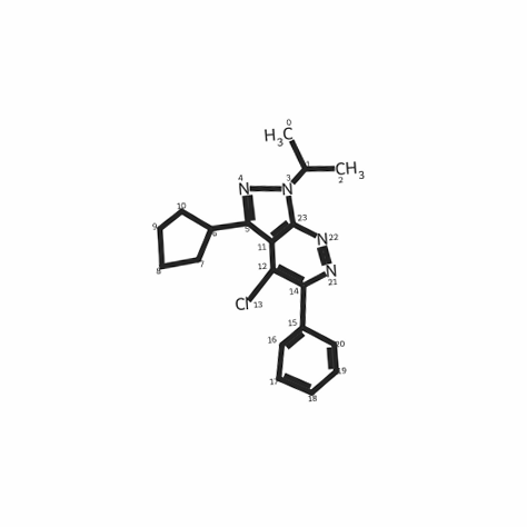 CC(C)n1nc(C2CCCC2)c2c(Cl)c(-c3ccccc3)nnc21